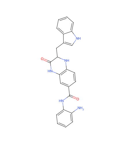 Nc1ccccc1NC(=O)c1ccc2c(c1)NC(=O)C(Cc1c[nH]c3ccccc13)N2